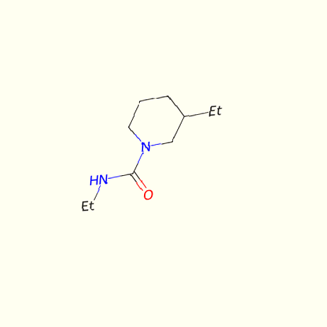 CCNC(=O)N1CCCC(CC)C1